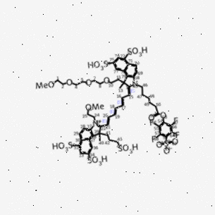 COCCOCCOCCOCCC1(C)\C(=C/C=C/C=C/C=C/C2=[N+](CCOC)c3ccc4c(S(=O)(=O)O)cc(S(=O)(=O)O)cc4c3C2(C)CCCS(=O)(=O)O)N(CCCCCC(=O)Oc2c(F)c(F)c(S(=O)(=O)[O-])c(F)c2F)c2ccc3c(S(=O)(=O)O)cc(S(=O)(=O)O)cc3c21